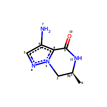 C[C@H]1Cn2ncc(N)c2C(=O)N1